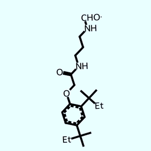 CCC(C)(C)c1ccc(OCC(=O)NCCCN[C]=O)c(C(C)(C)CC)c1